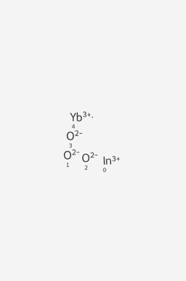 [In+3].[O-2].[O-2].[O-2].[Yb+3]